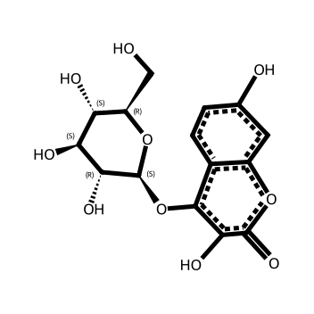 O=c1oc2cc(O)ccc2c(O[C@@H]2O[C@H](CO)[C@@H](O)[C@H](O)[C@H]2O)c1O